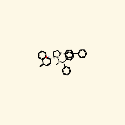 C=C(/C=C\C(=C/C)[C@@H]1CC[C@@H](c2ccc(-c3ccccc3)cc2)P1N(C)P(c1ccccc1)c1ccccc1)c1ccccc1